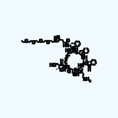 CCOCCOCCOCCOCCn1cc(CCC(=O)N[C@H](Cc2ccccc2)C(=O)N[C@H]2CSSCC(C(=O)N[C@H](CO)[C@@H](C)O)NC(=O)C([C@@H](C)O)NC(=O)[C@H](CCCCN)NC(=O)[C@@H](Cc3c[nH]c4ccccc34)NC(=O)[C@H](Cc3ccccc3)NC2=O)nn1